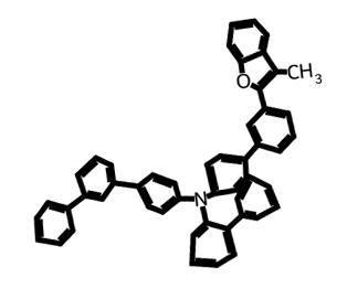 Cc1c(-c2cccc(-c3ccc(N(c4ccc(-c5cccc(-c6ccccc6)c5)cc4)c4ccccc4-c4ccccc4)cc3)c2)oc2ccccc12